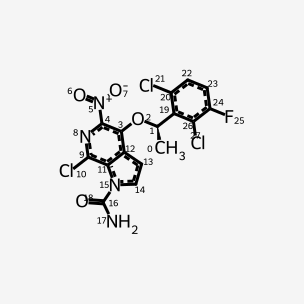 C[C@@H](Oc1c([N+](=O)[O-])nc(Cl)c2c1ccn2C(N)=O)c1c(Cl)ccc(F)c1Cl